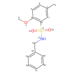 COc1ccc(C)cc1S(=O)(=O)NCc1ccccc1